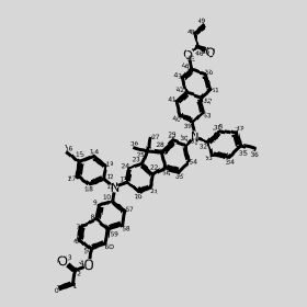 C=CC(=O)Oc1ccc2cc(N(c3ccc(C)cc3)c3ccc4c(c3)C(C)(C)c3cc(N(c5ccc(C)cc5)c5ccc6cc(OC(=O)C=C)ccc6c5)ccc3-4)ccc2c1